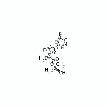 C#CC(C)(C)OC(=O)N(C)c1sc(-c2cncc(F)c2)nc1F